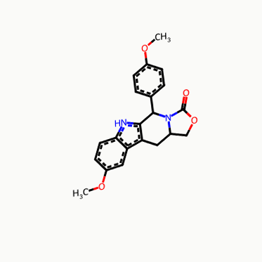 COc1ccc(C2c3[nH]c4ccc(OC)cc4c3CC3COC(=O)N32)cc1